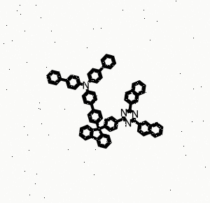 c1ccc(-c2ccc(N(c3ccc(-c4ccccc4)cc3)c3ccc(-c4ccc(C5(c6ccc(-c7nc(-c8ccc9ccccc9c8)nc(-c8ccc9ccccc9c8)n7)cc6)c6ccccc6-c6ccccc65)cc4)cc3)cc2)cc1